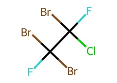 FC(Cl)(Br)C(F)(Br)Br